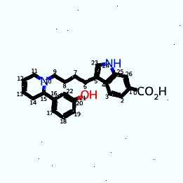 O=C(O)c1ccc2c(CCCCN3CC=CCC3c3cccc(O)c3)c[nH]c2c1